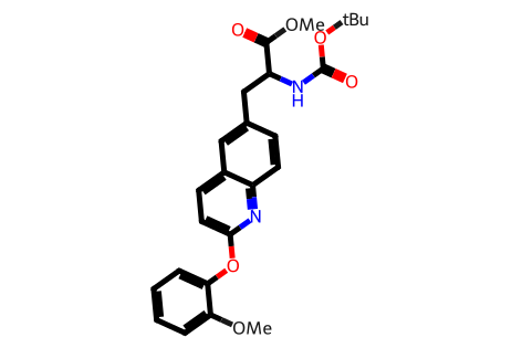 COC(=O)C(Cc1ccc2nc(Oc3ccccc3OC)ccc2c1)NC(=O)OC(C)(C)C